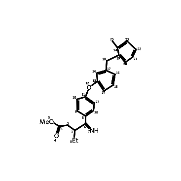 CCC(CC(=O)OC)C(=N)c1ccc(Oc2cccc(Cc3ccccc3C)c2)cc1